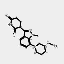 Cn1nc(C2CCC(=O)NC2=O)c2cccc(N3CCC[C@@H](CN)C3)c21